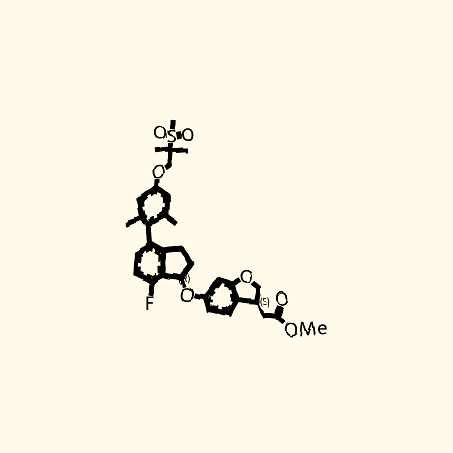 COC(=O)C[C@@H]1COc2cc(O[C@@H]3CCc4c(-c5c(C)cc(OCC(C)(C)S(C)(=O)=O)cc5C)ccc(F)c43)ccc21